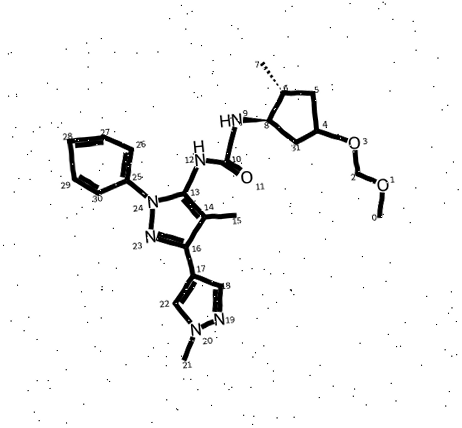 COCOC1C[C@@H](C)[C@H](NC(=O)Nc2c(C)c(-c3cnn(C)c3)nn2-c2ccccc2)C1